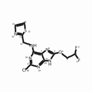 FC(F)COc1nc2c(NCc3nccs3)nc(Cl)nc2[nH]1